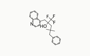 CC(C)(Cc1ccccc1)CC(O)(Cc1ccnc2ccccc12)C(F)(F)F